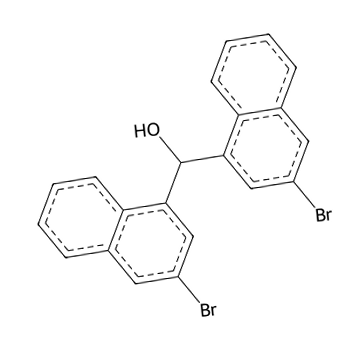 OC(c1cc(Br)cc2ccccc12)c1cc(Br)cc2ccccc12